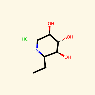 CC[C@H]1NC[C@@H](O)[C@H](O)[C@H]1O.Cl